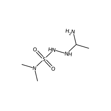 CC(N)NNS(=O)(=O)N(C)C